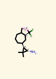 CC1CCCC([C@H]2[C@H](N)C2(C)C)C[C@@H]1C(F)(F)P